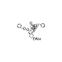 CO[C@H]1CCc2cc(OCOCc3ccccc3)c(N3CC(=O)N(COCc4ccccc4)S3(=O)=O)c(F)c2C1